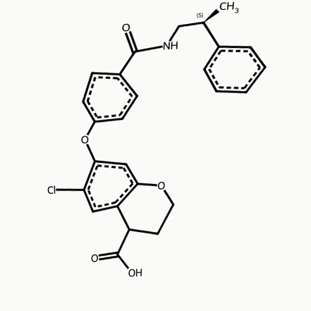 C[C@H](CNC(=O)c1ccc(Oc2cc3c(cc2Cl)C(C(=O)O)CCO3)cc1)c1ccccc1